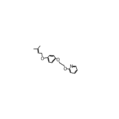 CC(C)=CCOc1ccc(OCCOc2ccccn2)cc1